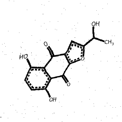 CC(O)c1cc2c(o1)C(=O)c1c(O)ccc(O)c1C2=O